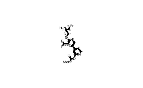 CNC(=O)Oc1cc(-c2cnc(OC[C@@](C)(N)CC(C)C)c(C(F)F)c2)ccn1